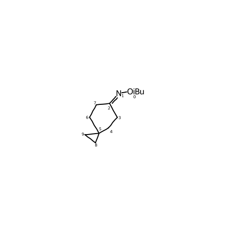 CC(C)CON=C1CCC2(CC1)CC2